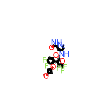 COC1CC(Oc2c([C@H]3[C@H](C(=O)Nc4ccnc(C(N)=O)c4)O[C@@](C)(C(F)(F)F)[C@H]3C)ccc(F)c2F)C1